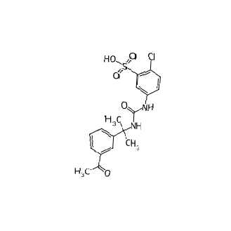 CC(=O)c1cccc(C(C)(C)NC(=O)Nc2ccc(Cl)c(S(=O)(=O)O)c2)c1